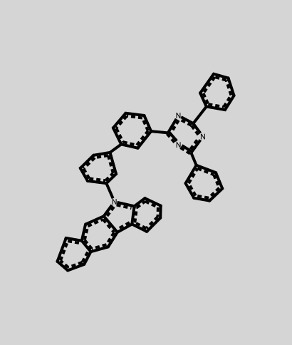 c1ccc(-c2nc(-c3ccccc3)nc(-c3cccc(-c4cccc(-n5c6ccccc6c6cc7ccccc7cc65)c4)c3)n2)cc1